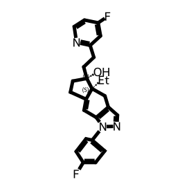 CC[C@]12Cc3cnn(-c4ccc(F)cc4)c3C=C1CC[C@@]2(O)CCc1cc(F)ccn1